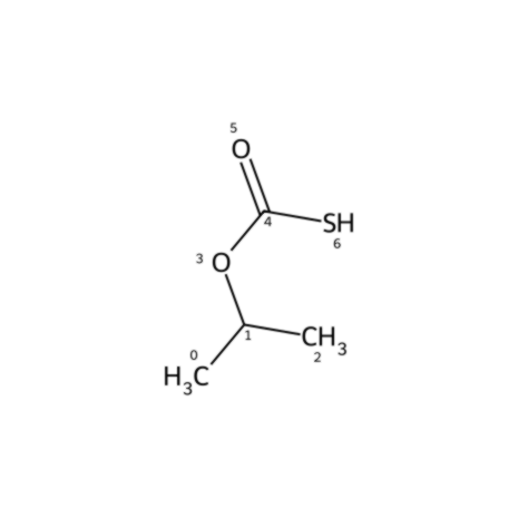 CC(C)OC(=O)S